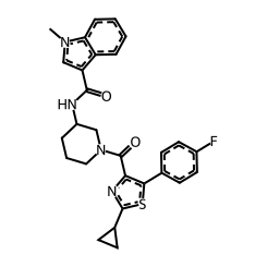 Cn1cc(C(=O)NC2CCCN(C(=O)c3nc(C4CC4)sc3-c3ccc(F)cc3)C2)c2ccccc21